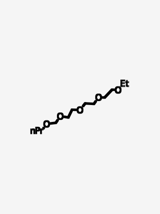 CCCOCOCCOCCOCCOCC